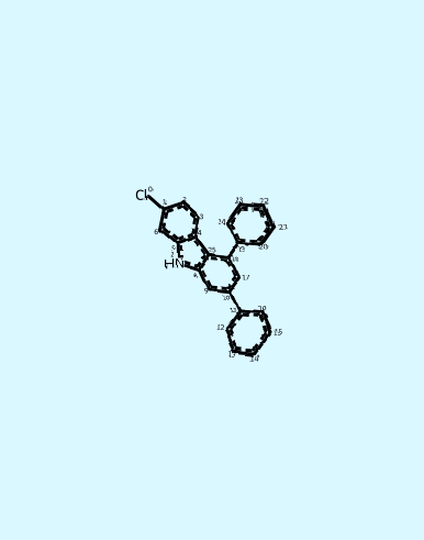 Clc1ccc2c(c1)[nH]c1cc(-c3ccccc3)cc(-c3ccccc3)c12